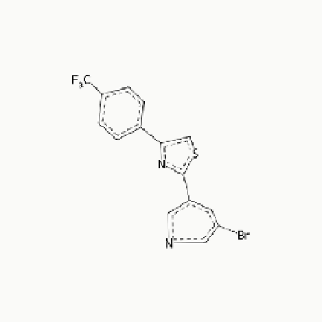 FC(F)(F)c1ccc(-c2csc(-c3cncc(Br)c3)n2)cc1